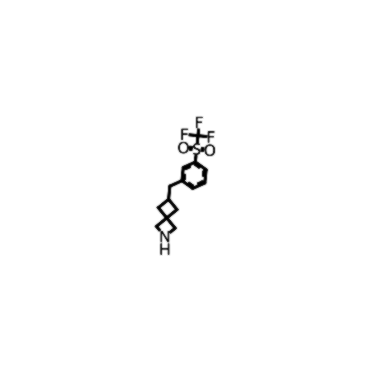 O=S(=O)(c1cccc(CC2CC3(CNC3)C2)c1)C(F)(F)F